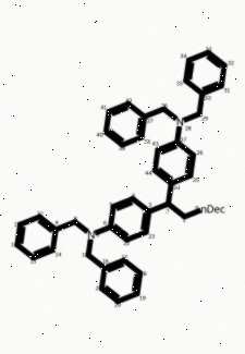 CCCCCCCCCCCC(c1ccc(N(Cc2ccccc2)Cc2ccccc2)cc1)c1ccc(N(Cc2ccccc2)Cc2ccccc2)cc1